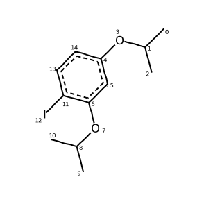 CC(C)Oc1[c]c(OC(C)C)c(I)cc1